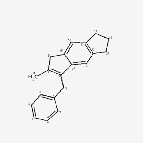 CC1=C(Cc2ccccc2)c2cc3c(cc2[CH]1)CCC3